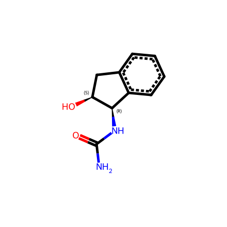 NC(=O)N[C@@H]1c2ccccc2C[C@@H]1O